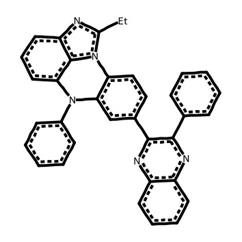 CCc1nc2cccc3c2n1-c1ccc(-c2nc4ccccc4nc2-c2ccccc2)cc1N3c1ccccc1